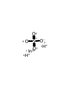 O=S(=O)([O-])[O-].[H+].[H+].[In+3]